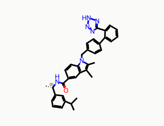 Cc1c(C)n(Cc2ccc(-c3ccccc3-c3nn[nH]n3)cc2)c2ccc(C(=O)N[C@@H](C)c3cccc(C(C)C)c3)cc12